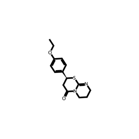 CCOc1ccc([C@@H]2CC(=O)N3CCCN=C3S2)cc1